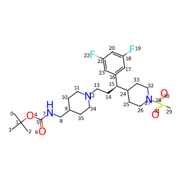 CC(C)(C)OC(=O)NCC1CCN(CC[C@@H](c2cc(F)cc(F)c2)C2CCN(S(C)(=O)=O)CC2)CC1